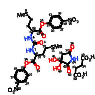 CSCC[C@H](NC(=O)N[C@@H](CCSC)C(=O)Oc1ccc([N+](=O)[O-])cc1)C(=O)Oc1ccc([N+](=O)[O-])cc1.O=C(O)CCC(=O)O.O=C1CC(O)(O)C(=O)N1